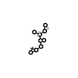 CC1(C)c2ccccc2-c2ccc(-c3cccc(-c4ccc(-c5cc(-c6ccc7oc8ccccc8c7c6)nc(-c6ccccc6)n5)c5ccccc45)c3)cc21